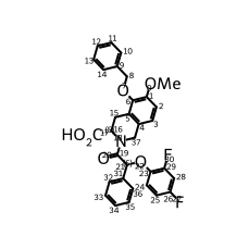 COc1ccc2c(c1OCc1ccccc1)C[C@@H](C(=O)O)N(C(=O)[C@@H](Oc1ccc(F)cc1F)c1ccccc1)C2